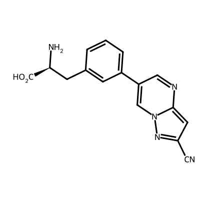 N#Cc1cc2ncc(-c3cccc(C[C@H](N)C(=O)O)c3)cn2n1